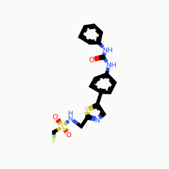 O=C(Nc1ccccc1)Nc1ccc(-c2cnc(CNS(=O)(=O)CF)s2)cc1